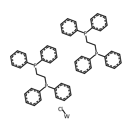 [Cl][W].c1ccc(P(CCP(c2ccccc2)c2ccccc2)c2ccccc2)cc1.c1ccc(P(CCP(c2ccccc2)c2ccccc2)c2ccccc2)cc1